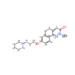 CC(C)n1nc2c(cc1=O)CCc1cc(OCCCN3CCCCC3)ccc1-2